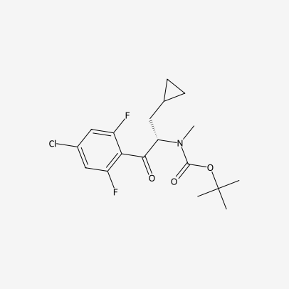 CN(C(=O)OC(C)(C)C)[C@@H](CC1CC1)C(=O)c1c(F)cc(Cl)cc1F